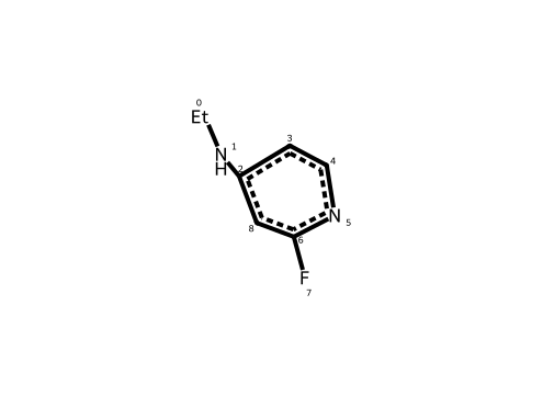 CCNc1ccnc(F)c1